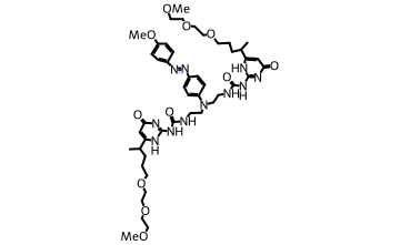 COCCOCCOCCCC(C)c1cc(=O)nc(NC(=O)NCCN(CCNC(=O)Nc2nc(=O)cc(C(C)CCCOCCOCCOC)[nH]2)c2ccc(/N=N/c3ccc(OC)cc3)cc2)[nH]1